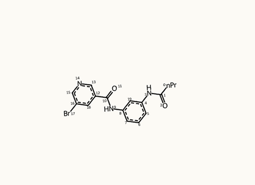 CCCC(=O)Nc1cccc(NC(=O)c2cncc(Br)c2)c1